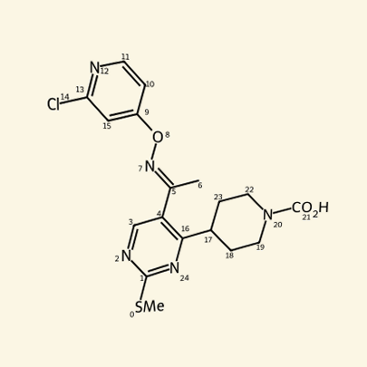 CSc1ncc(C(C)=NOc2ccnc(Cl)c2)c(C2CCN(C(=O)O)CC2)n1